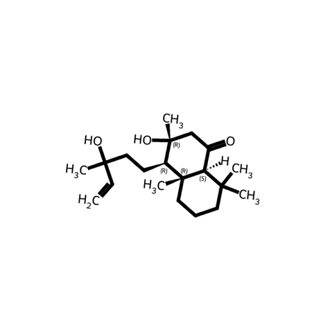 C=CC(C)(O)CC[C@@H]1[C@@]2(C)CCCC(C)(C)[C@@H]2C(=O)C[C@@]1(C)O